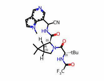 Cn1ccc2cncc(C(C#N)NC(=O)[C@@H]3[C@@H]4[C@H](CN3C(=O)[C@@H](NC(=O)C(F)(F)F)C(C)(C)C)C4(C)C)c21